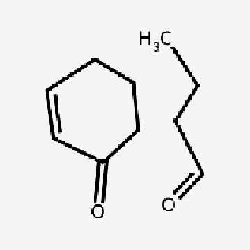 CCCC=O.O=C1C=CCCC1